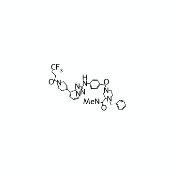 CNC(=O)C1CN(C(=O)c2ccc(Nc3nc4c(C5=CCN(C(=O)CCC(F)(F)F)CC5)cccn4n3)cc2)CCN1Cc1ccccc1